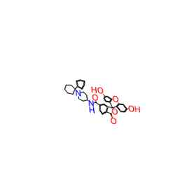 O=C(NC1CCN(C2(c3ccccc3)CCCCC2)CC1)c1ccc2c(c1)C1(OC2=O)c2ccc(O)cc2Oc2cc(O)ccc21